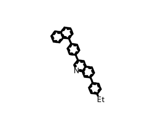 CCc1ccc(-c2ccc3cc(-c4ccc(-c5cccc6ccccc56)cc4)cnc3c2)cc1